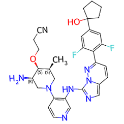 C[C@H]1CN(c2ccncc2Nc2ncc3ccc(-c4c(F)cc(C5(O)CCCC5)cc4F)nn23)C[C@@H](N)[C@H]1OCCC#N